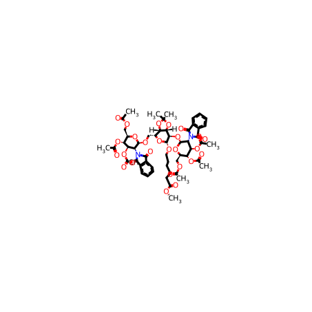 COC(=O)CCCCCO[C@@H]1O[C@H](CO[C@@H]2O[C@H](COC(C)=O)[C@@H](OC(C)=O)[C@H](OC(C)=O)[C@H]2N2C(=O)c3ccccc3C2=O)[C@@H]2OC(C)(C)O[C@@H]2[C@H]1O[C@@H]1O[C@H](COC(C)=O)[C@@H](OC(C)=O)[C@H](OC(C)=O)[C@H]1N1C(=O)c2ccccc2C1=O